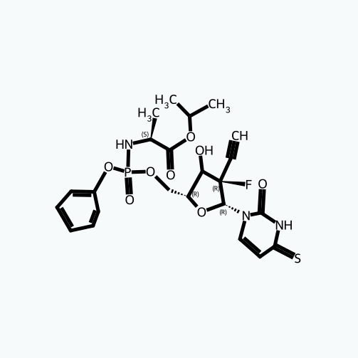 C#C[C@@]1(F)C(O)[C@@H](COP(=O)(N[C@@H](C)C(=O)OC(C)C)Oc2ccccc2)O[C@H]1n1ccc(=S)[nH]c1=O